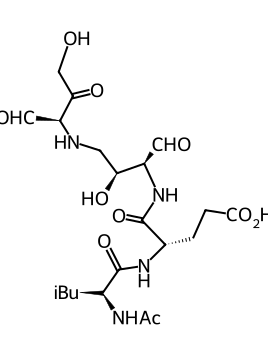 CC[C@H](C)[C@H](NC(C)=O)C(=O)N[C@@H](CCC(=O)O)C(=O)N[C@H](C=O)[C@@H](O)CN[C@@H](C=O)C(=O)CO